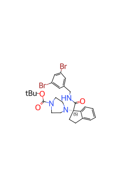 CC(C)(C)OC(=O)N1CCN([C@@]2(C(=O)NCc3cc(Br)cc(Br)c3)CCc3ccccc32)CC1